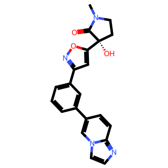 CN1CC[C@@](O)(c2cc(-c3cccc(-c4ccc5nccn5c4)c3)no2)C1=O